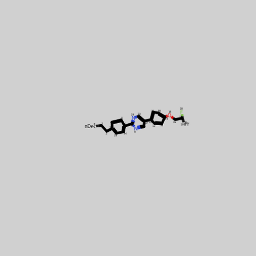 CCCCCCCCCCCCc1ccc(-c2ncc(-c3ccc(OCC(F)C(C)C)cc3)cn2)cc1